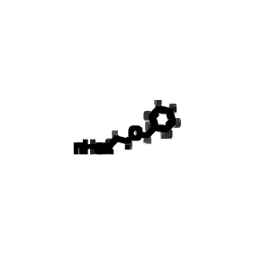 CCCCCCCCOCc1ccccc1